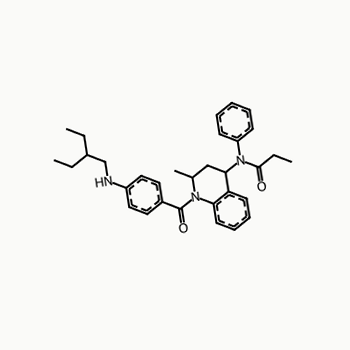 CCC(=O)N(c1ccccc1)C1CC(C)N(C(=O)c2ccc(NCC(CC)CC)cc2)c2ccccc21